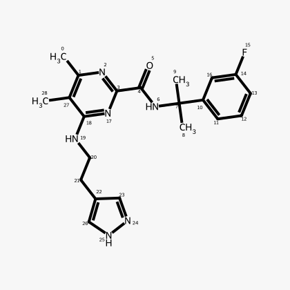 Cc1nc(C(=O)NC(C)(C)c2cccc(F)c2)nc(NCCc2cn[nH]c2)c1C